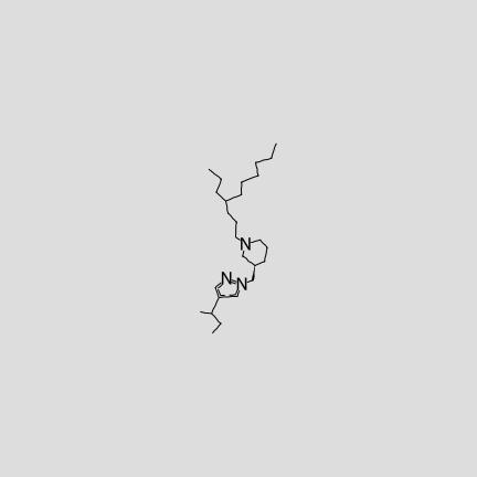 CCCCCCC(CCC)CCCN1CCC[C@@H](Cn2cc(C(C)CC)cn2)C1